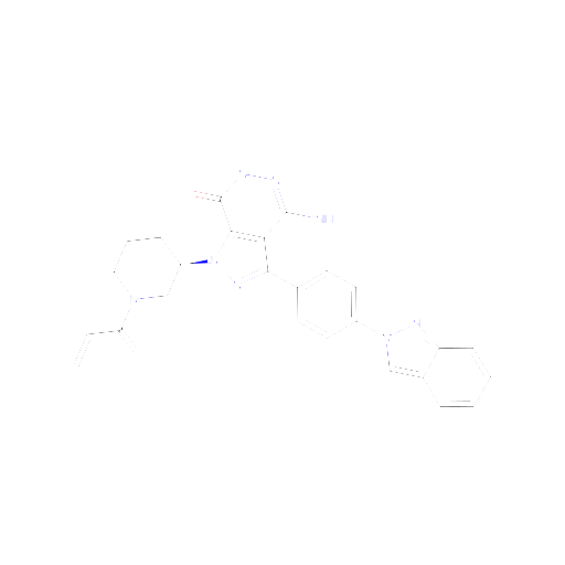 C=CC(=O)N1CCC[C@@H](n2nc(-c3ccc(-n4cc5ccccc5n4)cc3)c3c(N)n[nH]c(=O)c32)C1